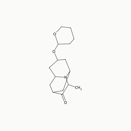 CC1C(=O)C2CC3CC(OC4CCCCO4)CC(C2)N31